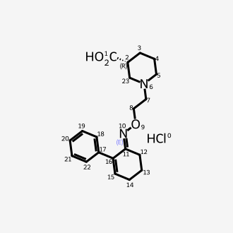 Cl.O=C(O)[C@@H]1CCCN(CCO/N=C2\CCCC=C2c2ccccc2)C1